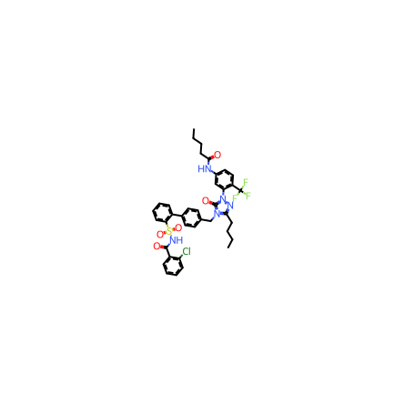 CCCCC(=O)Nc1ccc(C(F)(F)F)c(-n2nc(CCCC)n(Cc3ccc(-c4ccccc4S(=O)(=O)NC(=O)c4ccccc4Cl)cc3)c2=O)c1